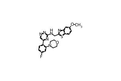 COc1ccc2sc(CNc3nncc(-c4ccc(F)cc4N4CCOCC4)n3)nc2c1